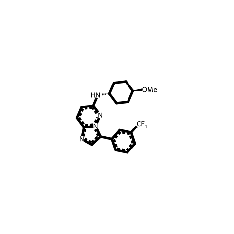 CO[C@H]1CC[C@H](Nc2ccc3ncc(-c4cccc(C(F)(F)F)c4)n3n2)CC1